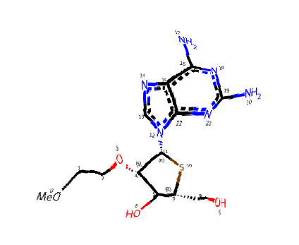 COCCO[C@H]1C(O)[C@@H](CO)S[C@H]1n1cnc2c(N)nc(N)nc21